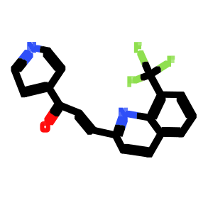 O=C(C=Cc1ccc2cccc(C(F)(F)F)c2n1)c1ccncc1